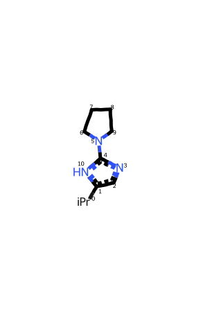 CC(C)c1cnc(N2CCCC2)[nH]1